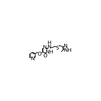 Cc1[nH]cnc1CSCCNc1ncc(OCc2cccnc2)c(=O)[nH]1